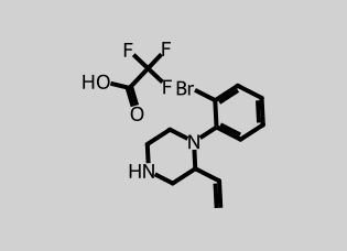 C=CC1CNCCN1c1ccccc1Br.O=C(O)C(F)(F)F